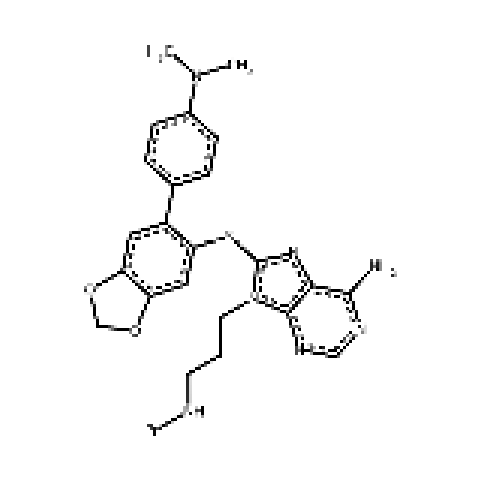 CC(C)NCCCn1c(Sc2cc3c(cc2-c2ccc(N(C)C)cc2)OCO3)nc2c(N)ncnc21